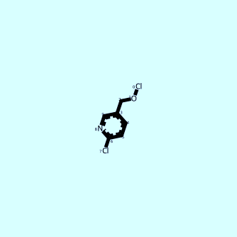 ClOCc1ccc(Cl)nc1